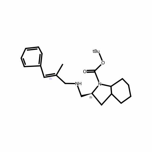 C/C(=C\c1ccccc1)CNC[C@@H]1CC2CCCCC2N1C(=O)OC(C)(C)C